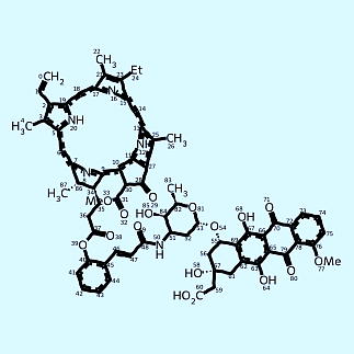 C=Cc1c(C)c2cc3nc(c4c5[nH]c(cc6nc(cc1[nH]2)C(C)=C6CC)c(C)c5C(=O)C4C(=O)OC)[C@@H](CCC(=O)Oc1ccccc1/C=C/C(=O)NC1C[C@@H](O[C@H]2C[C@](O)(CC(=O)O)Cc4c(O)c5c(c(O)c42)C(=O)c2cccc(OC)c2C5=O)O[C@H](C)[C@@H]1O)[C@@H]3C